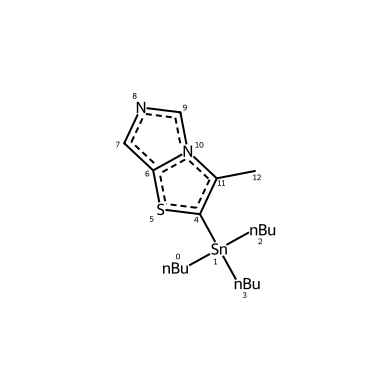 CCC[CH2][Sn]([CH2]CCC)([CH2]CCC)[c]1sc2cncn2c1C